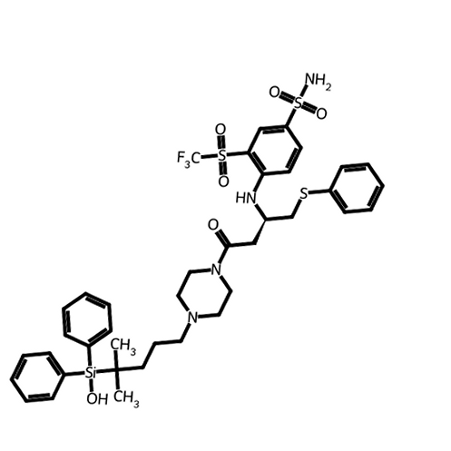 CC(C)(CCCN1CCN(C(=O)C[C@H](CSc2ccccc2)Nc2ccc(S(N)(=O)=O)cc2S(=O)(=O)C(F)(F)F)CC1)[Si](O)(c1ccccc1)c1ccccc1